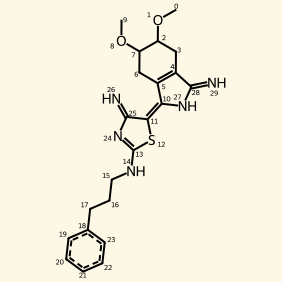 COC1CC2=C(CC1OC)C(=C1SC(NCCCc3ccccc3)=NC1=N)NC2=N